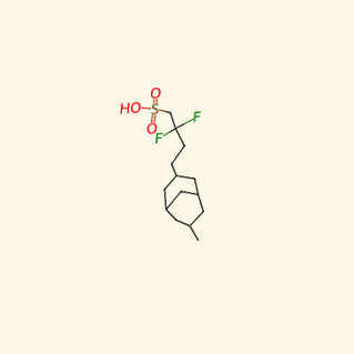 CC1CC2CC(CCC(F)(F)CS(=O)(=O)O)CC(C1)C2